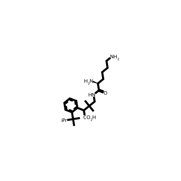 CC(C)C(C)(C)c1ccccc1C(C(=O)O)C(C)(C)CNC(=O)[C@@H](N)CCCCN